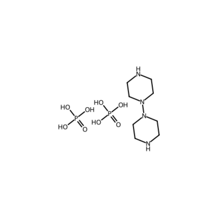 C1CN(N2CCNCC2)CCN1.O=P(O)(O)O.O=P(O)(O)O